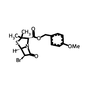 COc1ccc(COC(=O)[C@@H]2N3C(=O)[C@@H](Br)[C@H]3SC2(C)C)cc1